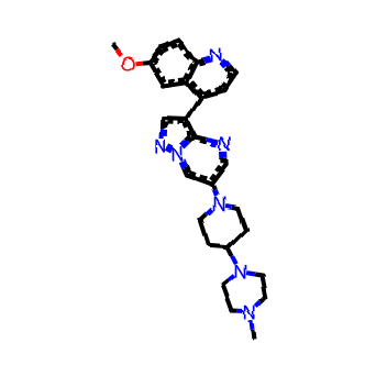 COc1ccc2nccc(-c3cnn4cc(N5CCC(N6CCN(C)CC6)CC5)cnc34)c2c1